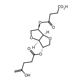 C=C(O)CCC(=O)O[C@H]1CO[C@H]2[C@@H]1OC[C@H]2OC(=O)CCC(=O)O